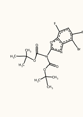 CC(C)(C)OC(=O)N(C(=O)OC(C)(C)C)c1nc2c(Br)c(F)cc(F)c2o1